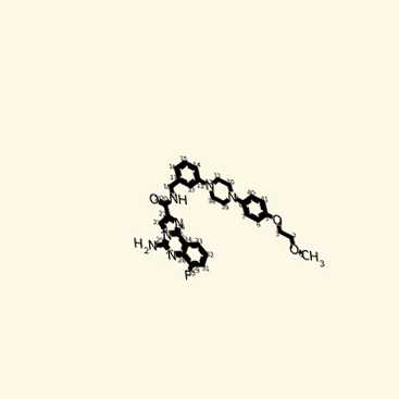 COCCOc1ccc(N2CCN(c3cccc(CNC(=O)c4cn5c(N)nc6c(F)cccc6c5n4)c3)CC2)cc1